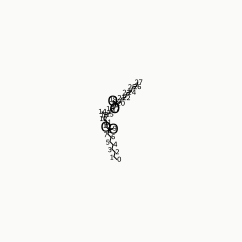 CCCCCCCCC(=O)OCCC(C)CCOC(=O)CCCCCCCC